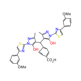 COc1cccc(-c2csc(-n3nc(C)c(C(c4ccc(C(=O)O)cc4)c4c(C)nn(-c5nc(-c6cccc(OC)c6)cs5)c4O)c3O)n2)c1